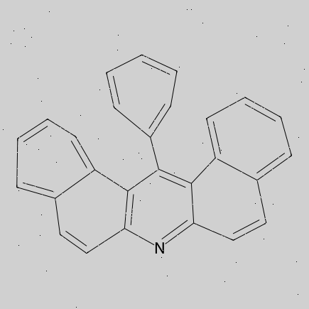 c1ccc(-c2c3c(ccc4ccccc43)nc3ccc4ccccc4c23)cc1